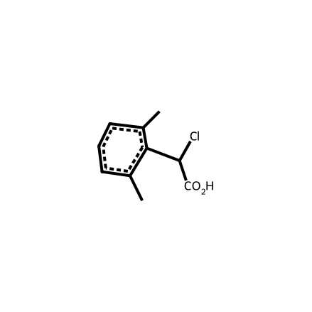 Cc1cccc(C)c1C(Cl)C(=O)O